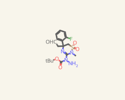 CN1C(N(N)C(=O)OC(C)(C)C)=NC(CC=O)(c2ccccc2F)CS1(=O)=O